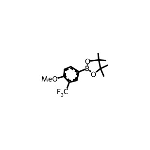 COc1ccc(B2OC(C)(C)C(C)(C)O2)cc1C(F)(F)F